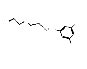 O=C(O)c1cc(C(=O)O)cc(S(=O)(=O)O)c1.OCCOCCO